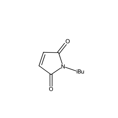 CCC(C)N1C(=O)C=CC1=O